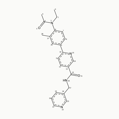 CCN(C(C)=O)c1ccc(-c2ccc(C(=O)NCc3cccnc3)cn2)cc1C